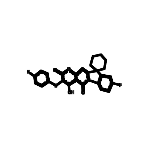 O=c1oc2cc3n(c(=O)c2c(O)c1Sc1ccc(F)cc1)-c1ccc(F)cc1C31CCCCC1